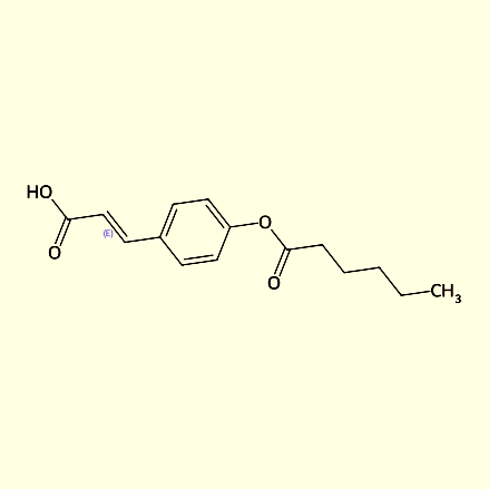 CCCCCC(=O)Oc1ccc(/C=C/C(=O)O)cc1